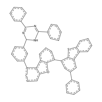 c1ccc(C2=NC(c3cccc(-c4cccc5oc6c(-c7cc(-c8ccccc8)cc8c7sc7ccccc78)cccc6c45)c3)NC(c3ccccc3)=N2)cc1